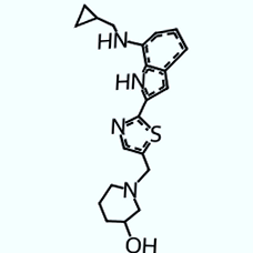 OC1CCCN(Cc2cnc(-c3cc4cccc(NCC5CC5)c4[nH]3)s2)C1